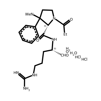 CCC(=O)N1CCC(NC)(c2ccccc2)[C@H]1C(=O)N[C@H](C=O)CCCNC(=N)N.Cl.Cl.O.O